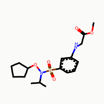 COC(=O)CNc1cccc(S(=O)(=O)N(OC2CCCC2)C(C)C)c1